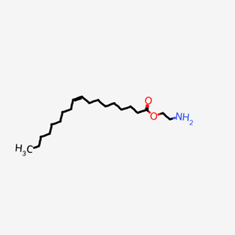 CCCCCCCC/C=C\CCCCCCCC(=O)OCCN